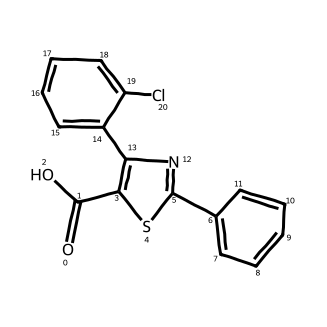 O=C(O)c1sc(-c2ccccc2)nc1-c1ccccc1Cl